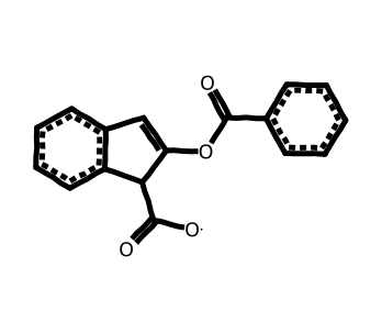 [O]C(=O)C1C(OC(=O)c2ccccc2)=Cc2ccccc21